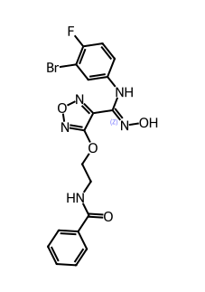 O=C(NCCOc1nonc1/C(=N/O)Nc1ccc(F)c(Br)c1)c1ccccc1